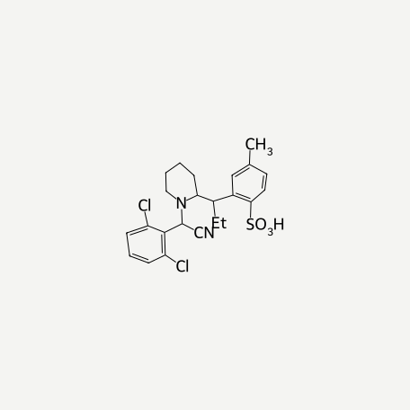 CCC(c1cc(C)ccc1S(=O)(=O)O)C1CCCCN1C(C#N)c1c(Cl)cccc1Cl